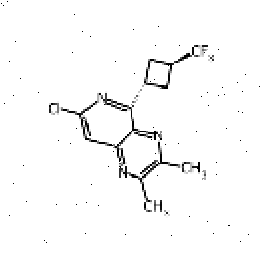 Cc1nc2cc(Cl)nc([C@H]3C[C@H](C(F)(F)F)C3)c2nc1C